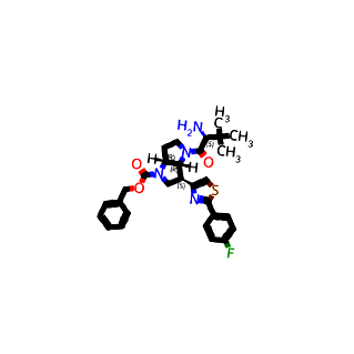 CC(C)(C)[C@H](N)C(=O)N1CC[C@@H]2[C@H]1[C@@H](c1csc(-c3ccc(F)cc3)n1)CN2C(=O)OCc1ccccc1